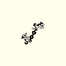 COC(=O)NC(CC(=O)N1CCC[C@H]1c1ncc(-c2ccc(-c3ccc(-c4cnc([C@@H]5CCCN5C(=O)C[C@@H](NC(=O)OC)C(C)C)[nH]4)cc3)cc2)[nH]1)C(C)C